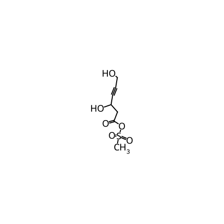 CS(=O)(=O)OC(=O)CC(O)C#CCO